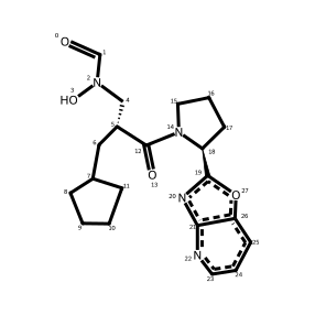 O=CN(O)C[C@@H](CC1CCCC1)C(=O)N1CCC[C@H]1c1nc2ncccc2o1